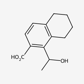 CC(O)c1c(C(=O)O)ccc2c1CCCC2